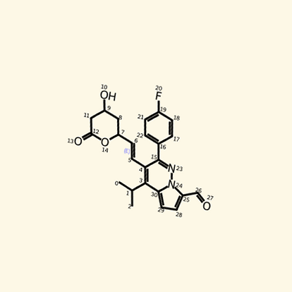 CC(C)c1c(/C=C/C2CC(O)CC(=O)O2)c(-c2ccc(F)cc2)nn2c(C=O)ccc12